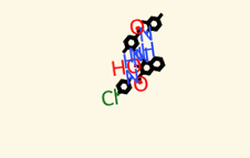 Cc1ccc(NC(=O)c2ccc(C)c(N=Nc3c(O)c(C(=O)Nc4ccc(Cl)cc4)cc4ccccc34)c2)c(C)c1